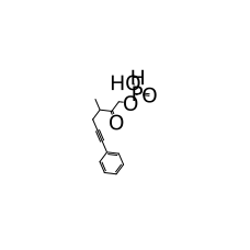 CC(CC#Cc1ccccc1)C(=O)CO[PH](=O)O